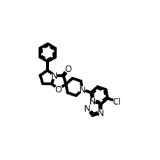 O=C1N2C(CCC2c2ccccc2)OC12CCN(c1ccc(Cl)c3ncnn13)CC2